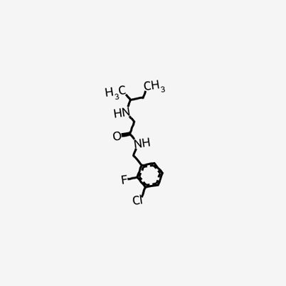 CCC(C)NCC(=O)NCc1cccc(Cl)c1F